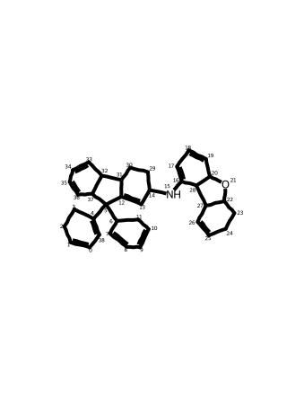 C1=CCCC(C2(C3C=CC=CC3)C3=CC(NC4=CC=CC5OC6CCC=CC6C45)CCC3C3C=CC=CC32)=C1